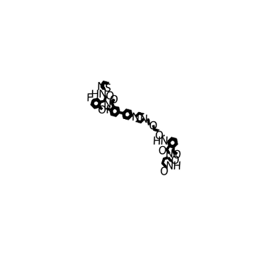 O=C1CCC(N2C(=O)c3cccc(NCOCCOCCN4CCN(c5ccc(-c6ccc7c(c6)C(=O)N(C(C(=O)Nc6nccs6)c6cc(F)ccc6O)C7)cc5)CC4)c3C2=O)C(=O)N1